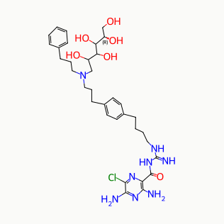 N=C(NCCCCc1ccc(CCCN(CCCc2ccccc2)CC(O)C(O)C(O)[C@H](O)CO)cc1)NC(=O)c1nc(Cl)c(N)nc1N